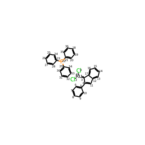 [Cl][Ru]([Cl])=[C]1C(c2ccccc2)=Cc2ccccc21.c1ccc(P(c2ccccc2)c2ccccc2)cc1